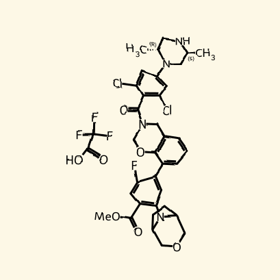 COC(=O)c1cc(F)c(-c2cccc3c2OCN(C(=O)c2c(Cl)cc(N4C[C@H](C)NC[C@H]4C)cc2Cl)C3)cc1N1C2CCC1COC2.O=C(O)C(F)(F)F